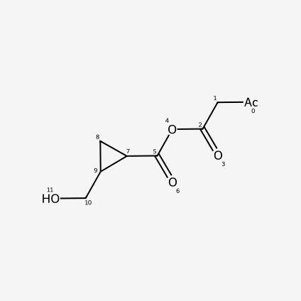 CC(=O)CC(=O)OC(=O)C1CC1CO